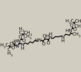 CC(CCNCCCCNC(=O)C(O)C(=O)NCCCCCCN/C(=N/C(=O)OC(C)(C)C)NC(=O)OC(C)(C)C)NC(=O)OC(C)(C)C